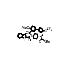 COc1ccc(-c2ccc(OC(F)(F)F)cc2)cc1CN(C(=O)c1sc2ccccc2c1Cl)[C@H]1CC[C@H](N(C)C(=O)OC(C)(C)C)CC1